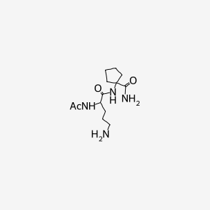 CC(=O)NC(CCCN)C(=O)NC1(C(N)=O)CCCC1